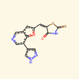 O=C1NC(=S)SC1=Cc1cc2cncc(-c3cn[nH]c3)c2o1